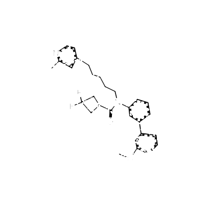 COc1cc(-c2cccc(N(CCCCCc3ccnc(C)c3)C(=O)C3CC(F)(F)C3)c2)ccn1